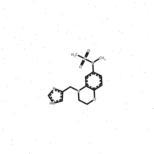 CN(c1ccc2c(c1)N(Cc1c[nH]cn1)CCO2)S(C)(=O)=O